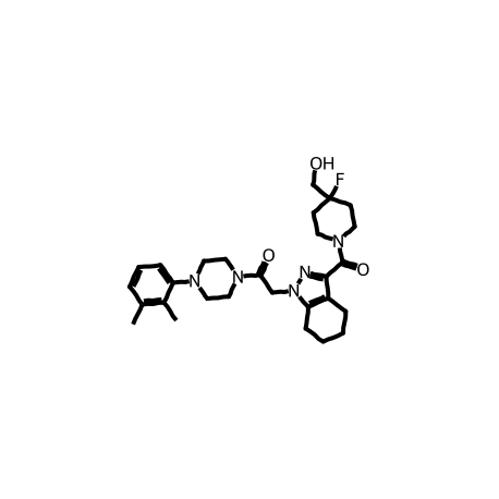 Cc1cccc(N2CCN(C(=O)Cn3nc(C(=O)N4CCC(F)(CO)CC4)c4c3CCCC4)CC2)c1C